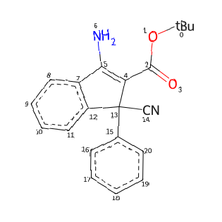 CC(C)(C)OC(=O)C1=C(N)c2ccccc2C1(C#N)c1ccccc1